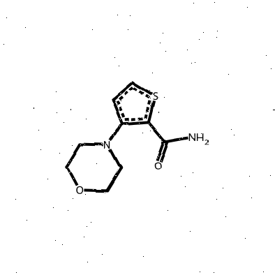 NC(=O)c1sccc1N1CCOCC1